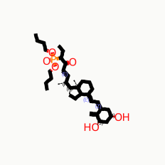 C=C1/C(=C\C=C2/CCC[C@@]3(C)C2CC[C@@H]3[C@H](C)/C=C/C(=O)C(CC)P(=O)(OCCCC)OCCCC)C[C@@H](O)C[C@@H]1O